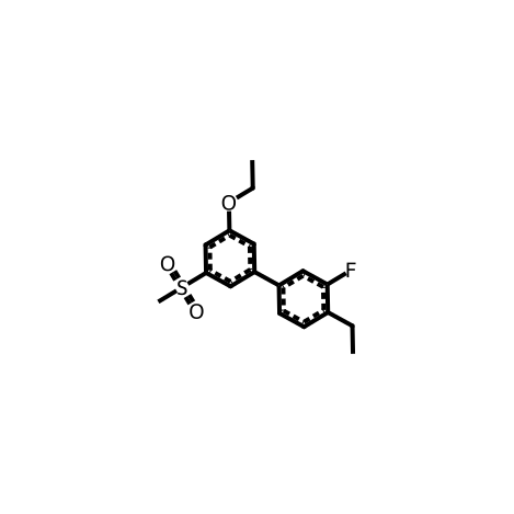 CCOc1cc(-c2ccc(CC)c(F)c2)cc(S(C)(=O)=O)c1